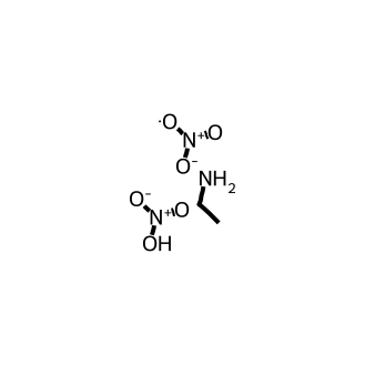 CCN.O=[N+]([O-])O.[O][N+](=O)[O-]